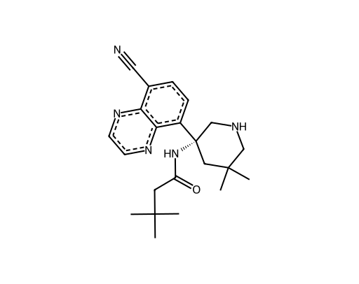 CC(C)(C)CC(=O)N[C@]1(c2ccc(C#N)c3nccnc23)CNCC(C)(C)C1